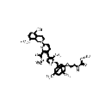 Cc1c(-c2ccc(N3CCc4c(C#N)ccc(C(=O)O)c4C3)nc2C(=O)OC(C)(C)C)cnn1CC12CC3(C)CC(C)(C1)CC(OCCNC(=O)OC(C)(C)C)(C3)C2